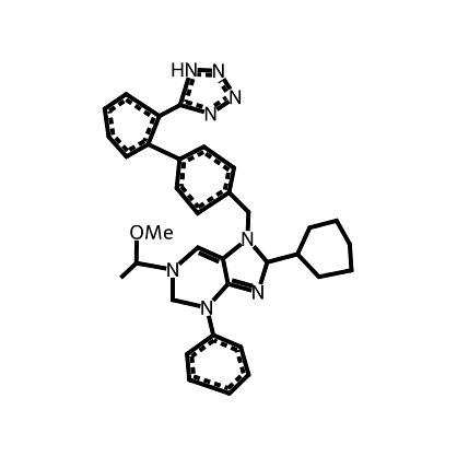 COC(C)N1C=C2C(=NC(C3CCCCC3)N2Cc2ccc(-c3ccccc3-c3nnn[nH]3)cc2)N(c2ccccc2)C1